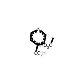 CC(=O)O.O=C(O)c1ccncc1